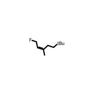 C/C(=C/CF)CCC(C)(C)C